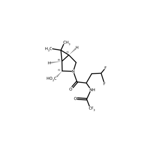 CC1(C)[C@@H]2[C@@H](C(=O)O)N(C(=O)C(CC(F)F)NC(=O)C(F)(F)F)C[C@@H]21